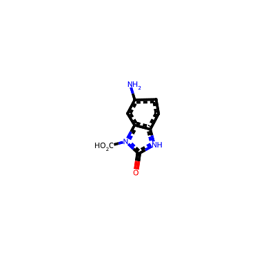 Nc1ccc2[nH]c(=O)n(C(=O)O)c2c1